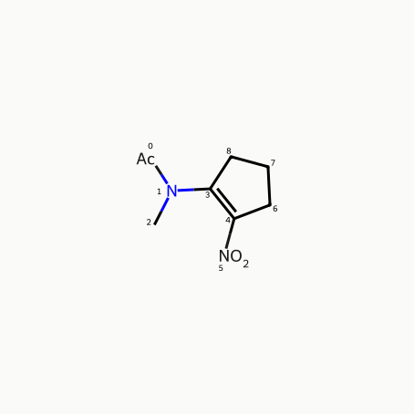 CC(=O)N(C)C1=C([N+](=O)[O-])CCC1